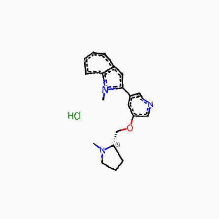 CN1CCC[C@H]1COc1cncc(-c2cc3ccccc3n2C)c1.Cl